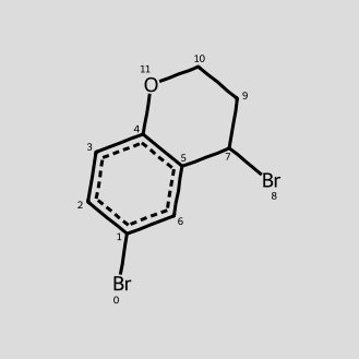 Brc1ccc2c(c1)C(Br)CCO2